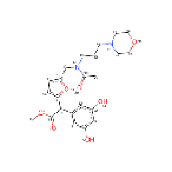 COC(=O)C(c1cc(O)cc(O)c1)c1ccc(CN(CCCN2CCOCC2)C(C)=O)o1